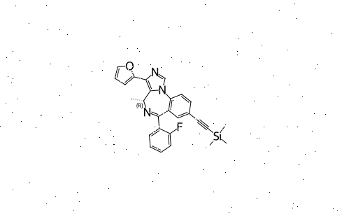 C[C@H]1N=C(c2ccccc2F)c2cc(C#C[Si](C)(C)C)ccc2-n2cnc(-c3ccco3)c21